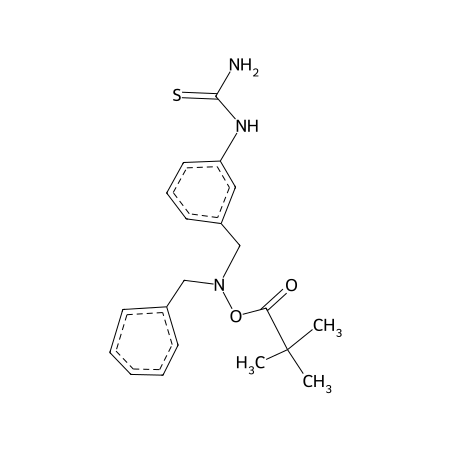 CC(C)(C)C(=O)ON(Cc1ccccc1)Cc1cccc(NC(N)=S)c1